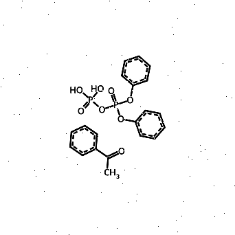 CC(=O)c1ccccc1.O=P(O)(O)OP(=O)(Oc1ccccc1)Oc1ccccc1